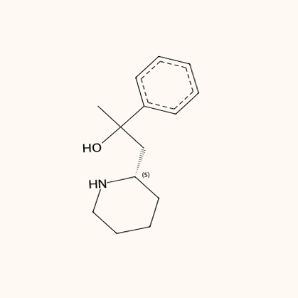 CC(O)(C[C@@H]1CCCCN1)c1ccccc1